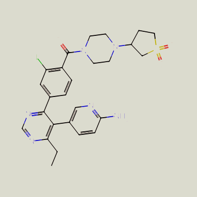 CCc1ncnc(-c2ccc(C(=O)N3CCN(C4CCS(=O)(=O)C4)CC3)c(Cl)c2)c1-c1ccc(N)nc1